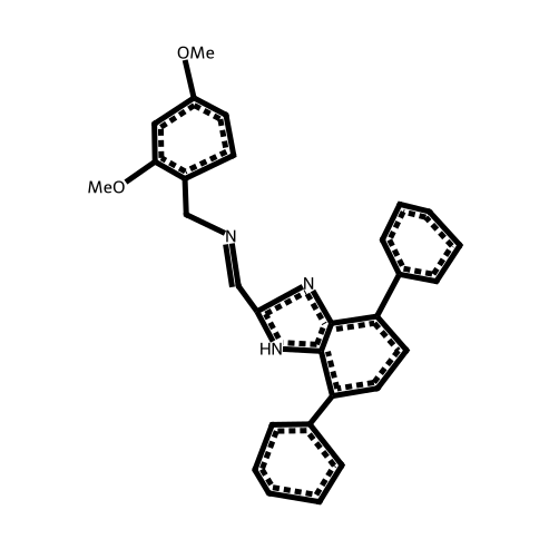 COc1ccc(CN=Cc2nc3c(-c4ccccc4)ccc(-c4ccccc4)c3[nH]2)c(OC)c1